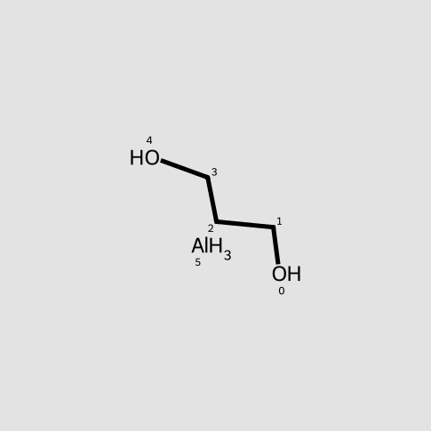 OCCCO.[AlH3]